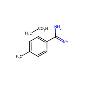 CC(=O)O.N=C(N)c1ccc(C(F)(F)F)cc1